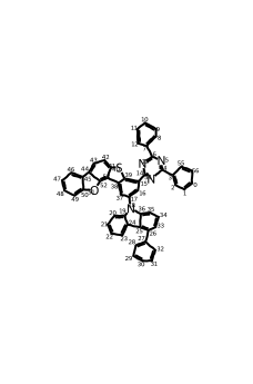 c1ccc(-c2nc(-c3ccccc3)nc(-c3cc(-n4c5ccccc5c5c(-c6ccccc6)cccc54)cc4c3sc3ccc5c6ccccc6oc5c34)n2)cc1